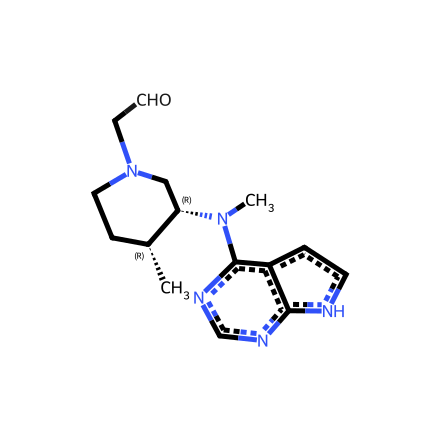 C[C@@H]1CCN(CC=O)C[C@@H]1N(C)c1ncnc2[nH]ccc12